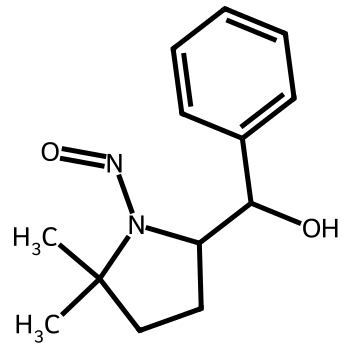 CC1(C)CCC(C(O)c2ccccc2)N1N=O